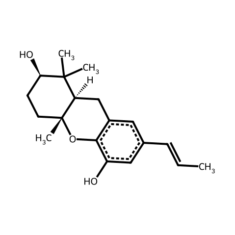 C/C=C/c1cc(O)c2c(c1)C[C@@H]1C(C)(C)[C@H](O)CC[C@@]1(C)O2